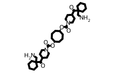 NCC1(C(=O)C2CCN(C(=O)O[C@H]3CCC[C@H](OC(=O)N4CCC(C(=O)C5(CN)CCCCC5)CC4)CCC3)CC2)CCCCC1